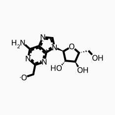 Nc1nc(C[O])nc2c1ncn2[C@H]1O[C@H](CO)[C@@H](O)[C@@H]1O